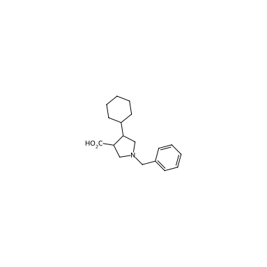 O=C(O)C1CN(Cc2ccccc2)CC1C1CCCCC1